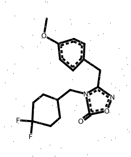 COc1ccc(Cc2noc(=O)n2CC2CCC(F)(F)CC2)cc1